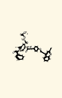 Cc1cc(COc2ccc(C(=O)N[C@@H]3CN(C(=O)c4ccccc4)CC[C@@H]3C(=O)NOC(=O)C(F)(F)F)cc2)c2ccccc2n1